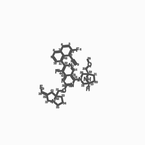 C#Cc1c(F)ccc2cccc(-c3ncc4c(N5C[C@H]6CC[C@@](COC)(C5)N6)nc(OCC56CCCN5C/C(=C/F)C6)nc4c3F)c12